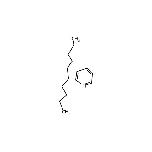 C1=C[CH]=[Tl][CH]=C1.CCCCCCCCCC